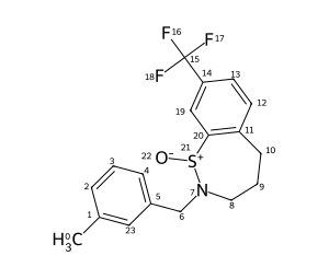 Cc1cccc(CN2CCCc3ccc(C(F)(F)F)cc3[S+]2[O-])c1